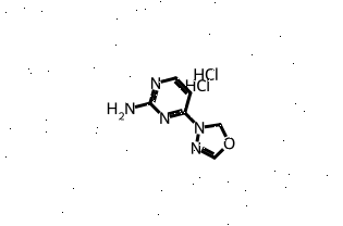 Cl.Cl.Nc1nccc(N2COC=N2)n1